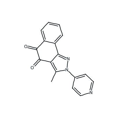 Cc1c2c(nn1-c1ccncc1)-c1ccccc1C(=O)C2=O